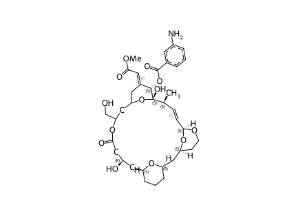 COC(=O)/C=C1\CC2CC(CO)OC(=O)C[C@H](O)C[C@@H]3CCC[C@H](C[C@@H]4CCO[C@H](/C=C/[C@H](C)[C@](O)(O2)[C@H]1OC(=O)c1cccc(N)c1)O4)O3